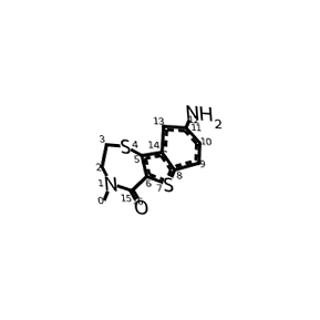 CN1CCSc2c(sc3ccc(N)cc23)C1=O